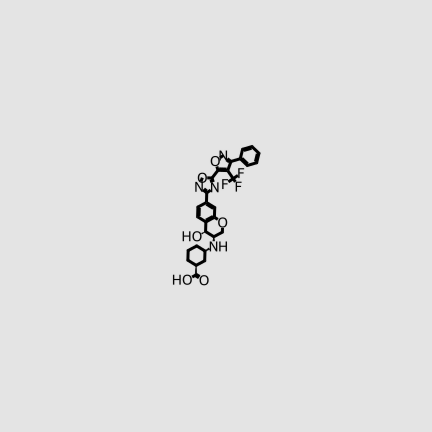 O=C(O)[C@H]1CCC[C@@H](N[C@@H]2COc3cc(-c4noc(-c5onc(-c6ccccc6)c5C(F)(F)F)n4)ccc3[C@H]2O)C1